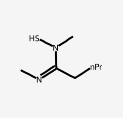 CCCC/C(=N/C)N(C)S